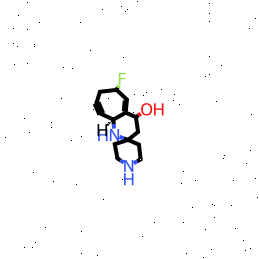 OC1CC2(CCNCC2)N[C@H]2C#CCC(F)C=C12